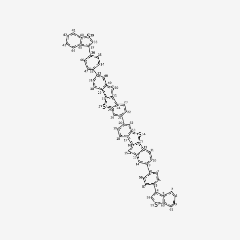 c1ccc2c(-c3ccc(-c4ccc5c(c4)sc4c6ccc(-c7ccc8c(c7)sc7c9ccc(-c%10ccc(-c%11csc%12ccccc%11%12)cc%10)cc9sc87)cc6sc54)cc3)csc2c1